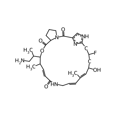 CC1=C\C(O)CC(F)Cc2nc(c[nH]2)C(=O)N2CCCC2C(=O)OC(C(C)CN)C(C)/C=C/C(=O)NC\C=C\1